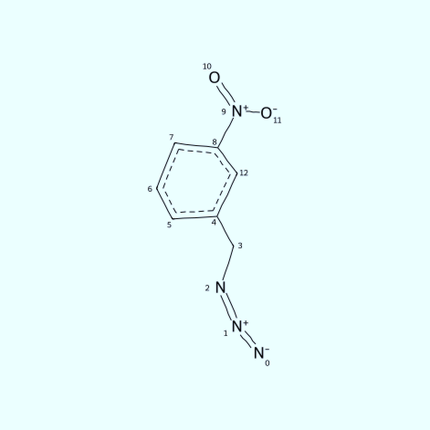 [N-]=[N+]=NCc1cccc([N+](=O)[O-])c1